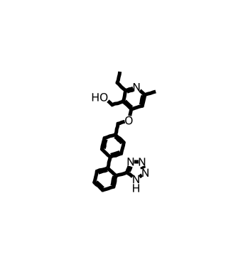 CCc1nc(C)cc(OCc2ccc(-c3ccccc3-c3nnn[nH]3)cc2)c1CO